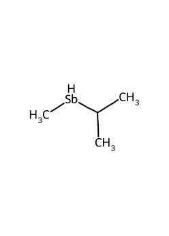 [CH3][SbH][CH](C)C